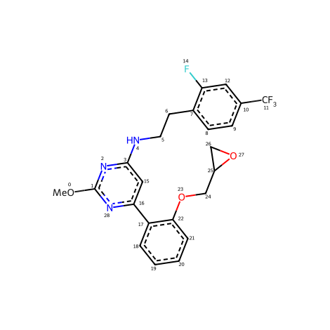 COc1nc(NCCc2ccc(C(F)(F)F)cc2F)cc(-c2ccccc2OCC2CO2)n1